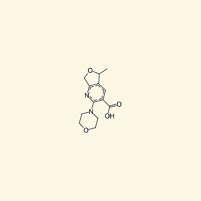 CC1OCc2nc(N3CCOCC3)c(C(=O)O)cc21